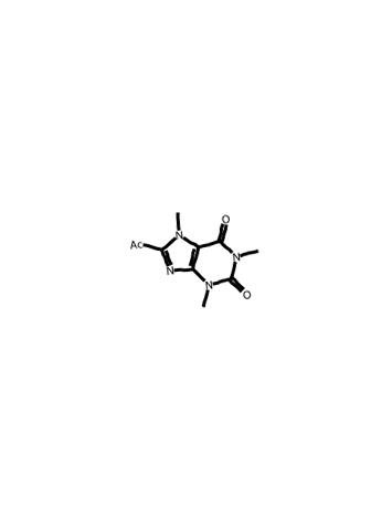 CC(=O)c1nc2c(c(=O)n(C)c(=O)n2C)n1C